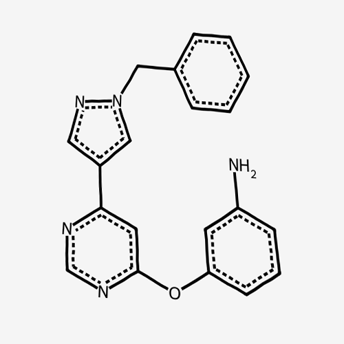 Nc1cccc(Oc2cc(-c3cnn(Cc4ccccc4)c3)ncn2)c1